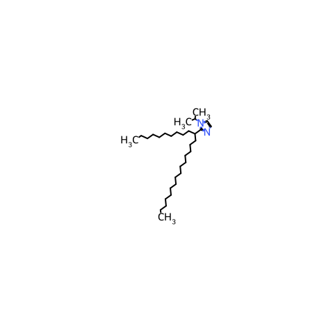 CCCCCCCCCCCCCCCC(CCCCCCCCCC)c1nccn1C(C)C